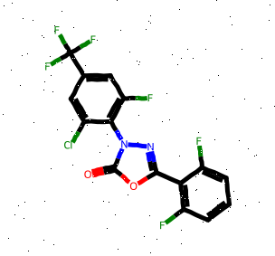 O=c1oc(-c2c(F)cccc2F)nn1-c1c(F)cc(C(F)(F)F)cc1Cl